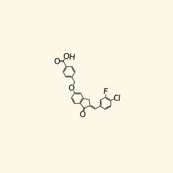 O=C(O)c1ccc(COc2ccc3c(c2)C/C(=C\c2ccc(Cl)c(F)c2)C3=O)cc1